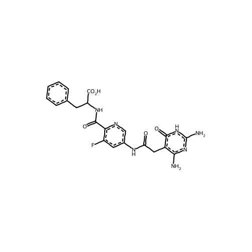 Nc1nc(N)c(CC(=O)Nc2cnc(C(=O)NC(Cc3ccccc3)C(=O)O)c(F)c2)c(=O)[nH]1